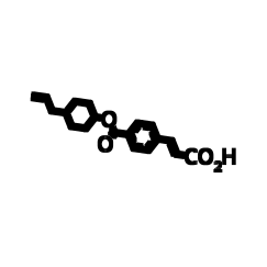 C=CCC1CCC(OC(=O)c2ccc(C=CC(=O)O)cc2)CC1